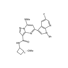 CNc1cc(-c2cn(C(C)C)c3ncc(F)cc23)nc2c(C(=O)NC3CC[C@H]3OC)cnn12